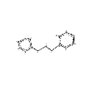 c1ccc(C[N]Cc2ccccn2)nc1